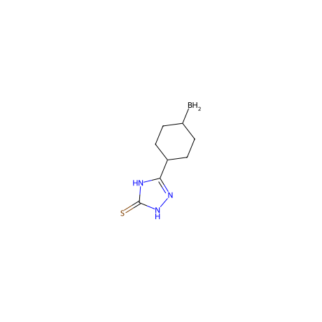 BC1CCC(c2n[nH]c(=S)[nH]2)CC1